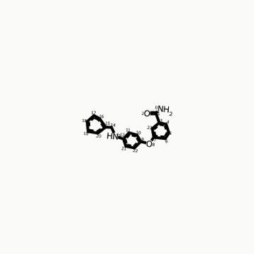 NC(=O)c1cccc(Oc2ccc(NCc3ccccc3)cc2)c1